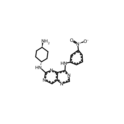 N[C@H]1CC[C@H](Nc2ncc3ncnc(Nc4cccc([N+](=O)[O-])c4)c3n2)CC1